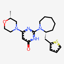 C[C@@H]1CN(c2cc(=O)[nH]c(N3CCCCC[C@@H]3Cc3cccs3)n2)CCO1